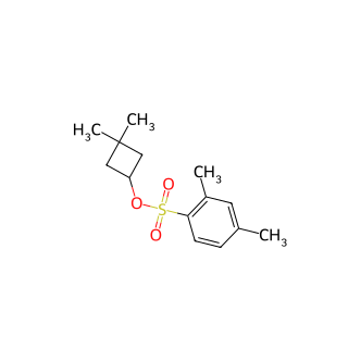 Cc1ccc(S(=O)(=O)OC2CC(C)(C)C2)c(C)c1